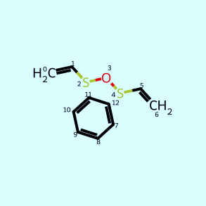 C=CSOSC=C.c1ccccc1